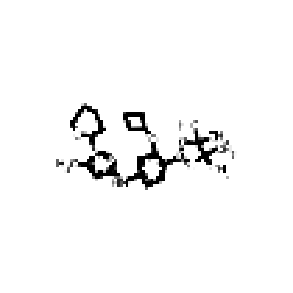 Cc1cc(Nc2ccc(B3OC(C)(C)C(C)(C)O3)c(OC3CCC3)c2)nn1C1CCCCO1